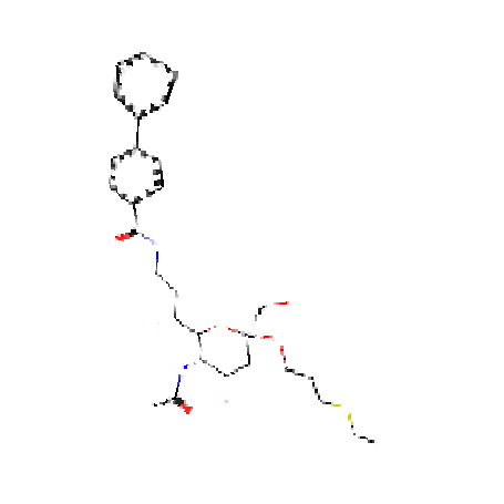 CCSCCCO[C@]1(CO)C[C@H](O)[C@@H](NC(C)=O)C([C@H](O)CCNC(=O)c2ccc(-c3ccccc3)cc2)O1